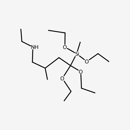 CCNCC(C)CC(OCC)(OCC)[Si](C)(OCC)OCC